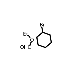 BrC1CCCCC1.CCOC=O